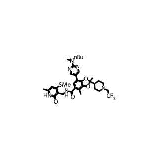 CCCCN(C)c1ncc(-c2cc(C(=O)NCc3c(SC)cc(C)[nH]c3=O)c(C)c3c2OC(C)(C2CCN(CC(F)(F)F)CC2)O3)cn1